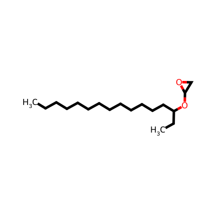 CCCCCCCCCCCCCC(CC)OC1CO1